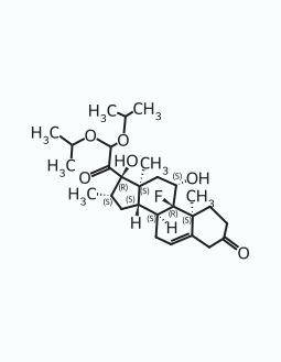 CC(C)OC(OC(C)C)C(=O)[C@@]1(O)[C@@H](C)C[C@H]2[C@@H]3CC=C4CC(=O)CC[C@]4(C)[C@@]3(F)[C@@H](O)C[C@@]21C